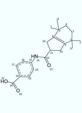 CC1(C)CCC(C)(C)C2=C1CC(C(=O)Nc1ccc(C(=O)O)cc1)C2